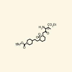 CCOC(=O)[C@H](C)C(N)C(=O)CN1CCCC(CCC2CCN(C(=O)OC(C)(C)C)CC2)S1(=O)=O